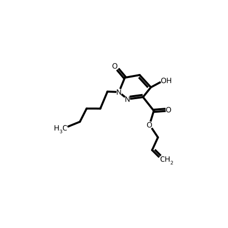 C=CCOC(=O)c1nn(CCCCC)c(=O)cc1O